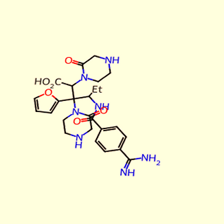 CCC(NC(=O)c1ccc(C(=N)N)cc1)C(c1ccco1)(C(C(=O)O)N1CCNCC1=O)N1CCNCC1=O